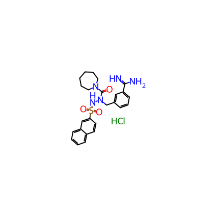 Cl.N=C(N)c1cccc(CN(NS(=O)(=O)c2ccc3ccccc3c2)C(=O)N2CCCCCC2)c1